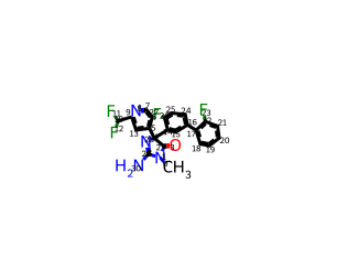 CN1C(=O)C(c2ccnc(C(F)F)c2)(c2cc(-c3ccccc3F)ccc2F)N=C1N